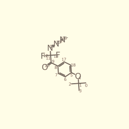 CC(C)(C)Oc1ccc(C(=O)C(F)(F)N=[N+]=[N-])cc1